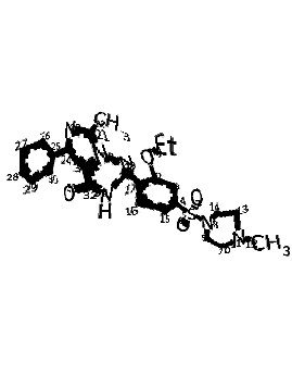 CCOc1cc(S(=O)(=O)N2CCN(C)CC2)ccc1-c1nn2c(C)nc(-c3ccccc3)c2c(=O)[nH]1